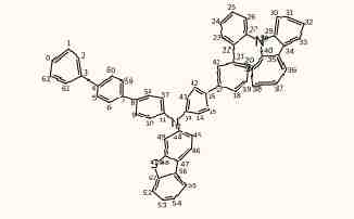 c1ccc(-c2ccc(-c3ccc(N(c4ccc(-c5cccc(-c6ccccc6-n6c7ccccc7c7ccccc76)c5)cc4)c4ccc5c(c4)sc4ccccc45)cc3)cc2)cc1